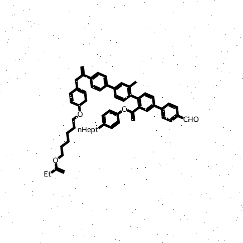 C=C(CC)OCCCCCCOC1C=CC(CC(=C)c2ccc(-c3ccc(-c4ccc(-c5ccc(C=O)cc5)cc4C(=C)Oc4ccc(CCCCCCC)cc4)c(C)c3)cc2)=CC1